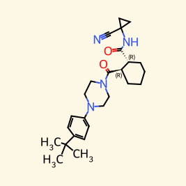 CC(C)(C)c1ccc(N2CCN(C(=O)[C@@H]3CCCC[C@H]3C(=O)NC3(C#N)CC3)CC2)cc1